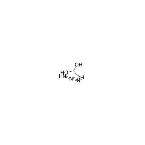 OC(O)O.[N-]=[N+]=N